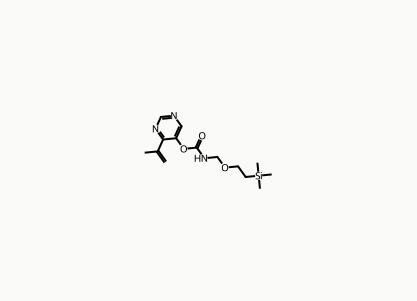 C=C(C)c1ncncc1OC(=O)NCOCC[Si](C)(C)C